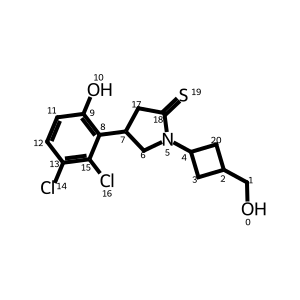 OCC1CC(N2CC(c3c(O)ccc(Cl)c3Cl)CC2=S)C1